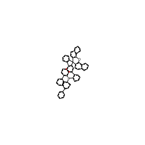 c1ccc(-c2ccc(N(c3ccccc3-c3ccccc3)c3ccccc3-c3ccc4c(c3)C3(c5ccccc5-4)c4ccc5ccccc5c4Oc4c3ccc3ccccc43)cc2)cc1